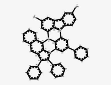 CC(C)c1ccc2c(c1)c1cc(C(C)C)cc3c1n2-c1cc(-c2ccccc2)cc2c1B3c1c3ccccc3cc3c(-c4ccccc4)c(-c4ccccc4)n-2c13